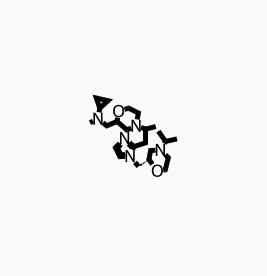 CC(C)N1CCO[C@H](Cn2ccnc2CC(C)N2CCOC(CN(C)C3CC3)C2)C1